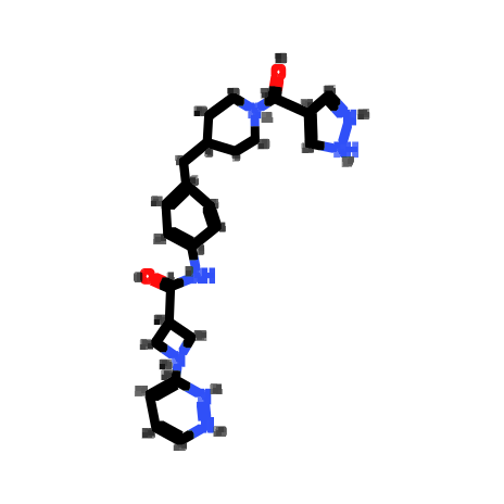 O=C(Nc1ccc(CC2CCN(C(=O)c3cn[nH]c3)CC2)cc1)C1CN(c2cccnn2)C1